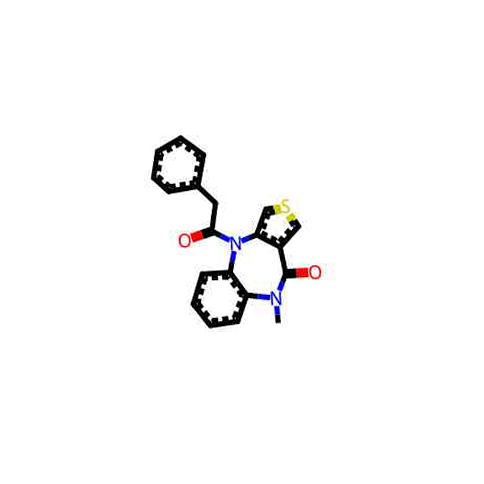 CN1C(=O)c2cscc2N(C(=O)Cc2ccccc2)c2ccccc21